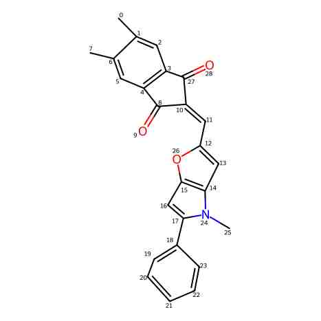 Cc1cc2c(cc1C)C(=O)C(=Cc1cc3c(cc(-c4ccccc4)n3C)o1)C2=O